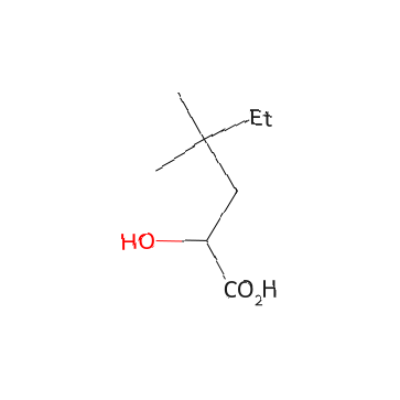 CCC(C)(C)CC(O)C(=O)O